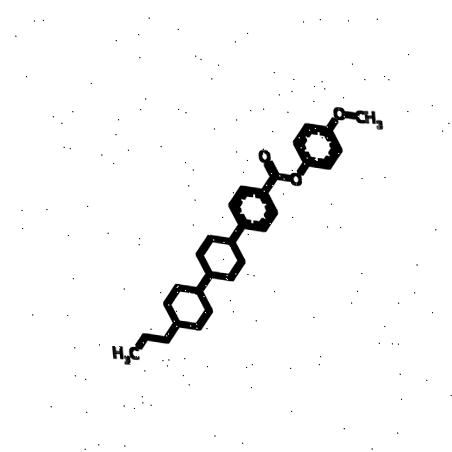 CCCC1CCC(C2CCC(c3ccc(C(=O)Oc4ccc(OC)cc4)cc3)CC2)CC1